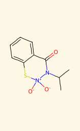 CC(C)N1C(=O)c2ccccc2S[N+]1([O-])[O-]